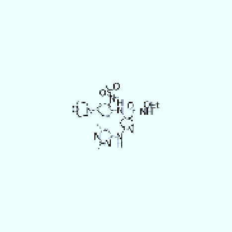 CCONC(=O)c1cnc(Nc2cc(C)nc(C)n2)cc1Nc1ccc(N2CCOCC2)cc1N(C)S(C)(=O)=O